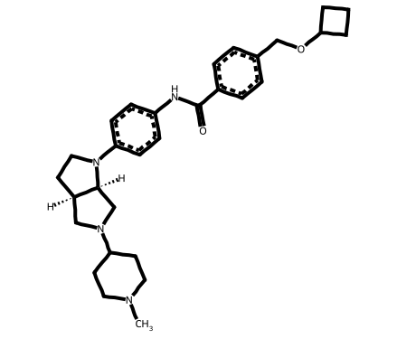 CN1CCC(N2C[C@H]3CCN(c4ccc(NC(=O)c5ccc(COC6CCC6)cc5)cc4)[C@H]3C2)CC1